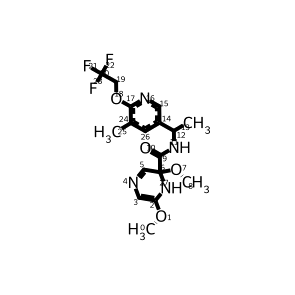 COC1=CN=CC(OC)(C(=O)NC(C)c2cnc(OCC(F)(F)F)c(C)c2)N1